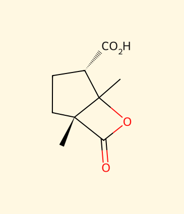 CC12OC(=O)[C@]1(C)CC[C@@H]2C(=O)O